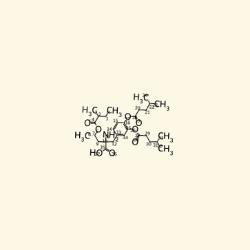 CCC(C)C(=O)O[C@@H](C)CC(N)(Cc1ccc(OC(=O)CCC(C)C)c(OC(=O)CCC(C)C)c1)C(=O)O